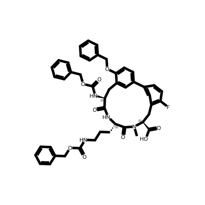 CN1C(=O)[C@H](CCCNC(=O)OCc2ccccc2)NC(=O)[C@@H](NC(=O)OCc2ccccc2)Cc2cc(ccc2OCc2ccccc2)-c2ccc(F)c(c2)C[C@H]1C(=O)O